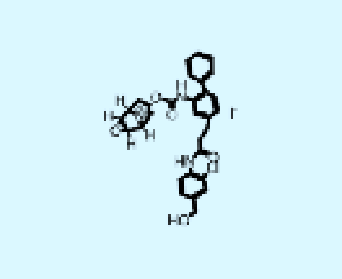 C[N+]1(C)[C@@H]2C[C@@H](OC(=O)Nc3cc(CCC(=O)Nc4ccc(CO)cc4Cl)ccc3-c3ccccc3)C[C@H]1[C@@H]1O[C@@H]12.[I-]